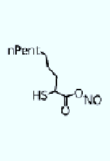 CCCCCCCCC(S)C(=O)ON=O